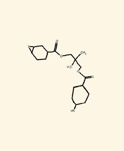 CC(C)(COC(=O)C1CCC(S)CC1)COC(=O)C1CCC2SC2C1